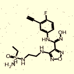 C#Cc1cc(N/C(=N\O)c2nonc2NCCN[SH](N)(=O)CC)ccc1F